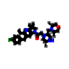 CCc1nc2c(cc1Cc1ccc(F)cc1)N(C(=O)CN1C[C@@H](C)NC[C@@H]1CN1[C@H](C)COC[C@H]1C)CC2(C)C